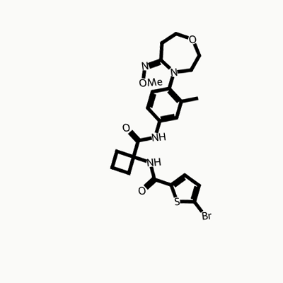 CON=C1CCOCCN1c1ccc(NC(=O)C2(NC(=O)c3ccc(Br)s3)CCC2)cc1C